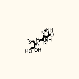 CSCC(NCc1n[nH]c2c(=O)[nH]cnc12)C(O)CO